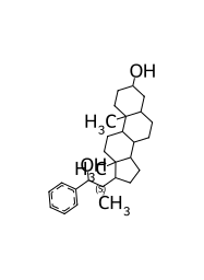 C[C@H](C(O)c1ccccc1)C1CCC2C3CCC4CC(O)CCC4(C)C3CCC21C